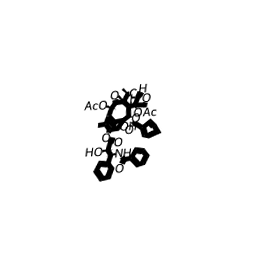 CC(=O)O[C@H]1C(=O)[C@@]2(C)[C@H]([C@H](OC(=O)c3ccccc3)[C@]3(O)CC(OC(=O)[C@H](O)[C@@H](NC(=O)c4ccccc4)c4ccccc4)C(C)=C1C3(C)C)[C@]1(OC(C)=O)CO[C@@H]1C[C@@H]2C